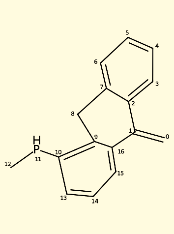 C=C1c2ccccc2Cc2c(PC)cccc21